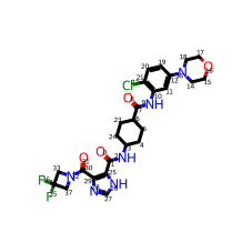 O=C(NC1CCC(C(=O)Nc2cc(N3CCOCC3)ccc2Cl)CC1)c1[nH]cnc1C(=O)N1CC(F)(F)C1